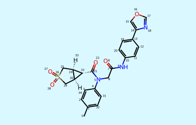 Cc1ccc(N(CC(=O)Nc2ccc(-c3cocn3)cc2)C(=O)[C@H]2[C@@H]3CS(=O)(=O)C[C@@H]32)cc1